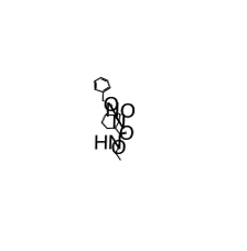 CCONC(=O)C1CCC2CN1C(=O)N2OCc1ccccc1